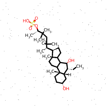 CC[C@H]1[C@@H](O)C2C3CC[C@H]([C@H](C)C(C)(C)CC(C)(C)[C@H](C)OS(=O)(=O)O)[C@@]3(C)CCC2[C@@]2(C)CC[C@@H](O)C[C@@H]12